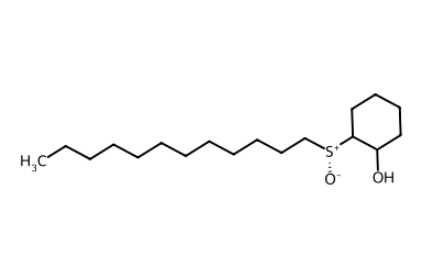 CCCCCCCCCCCC[S@@+]([O-])C1CCCCC1O